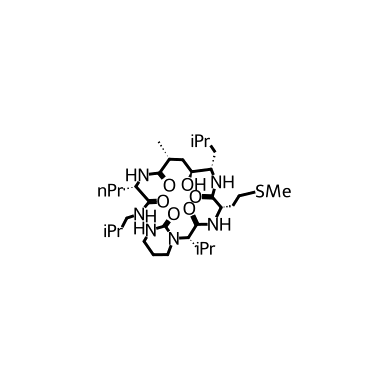 CCC[C@H](NC(=O)[C@H](C)C[C@H](O)[C@H](CC(C)C)NC(=O)[C@H](CCSC)NC(=O)[C@H](C(C)C)N1CCCNC1=O)C(=O)NCC(C)C